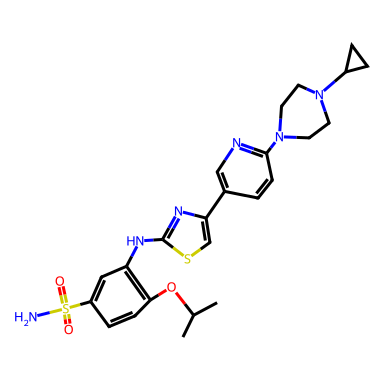 CC(C)Oc1ccc(S(N)(=O)=O)cc1Nc1nc(-c2ccc(N3CCN(C4CC4)CC3)nc2)cs1